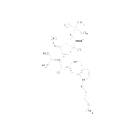 COCCCn1ccc2ccc(C(=O)N(C(C)C)[C@H]3C[N+](C)(C(=O)OC(C)(C)C)C[C@@H]3CO)cc21